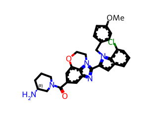 COc1ccc(Cn2c(-c3nc4cc(C(=O)N5CCC[C@@H](N)C5)cc5c4n3CCO5)cc3cccc(Cl)c32)cc1